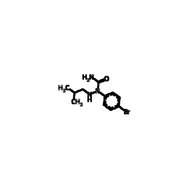 CC(C)CNN(C(N)=O)c1ccc(Br)cc1